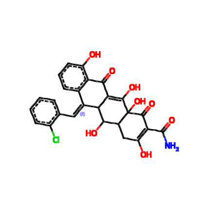 NC(=O)C1=C(O)CC2C(O)C3C(=C(O)C2(O)C1=O)C(=O)c1c(O)cccc1/C3=C\c1ccccc1Cl